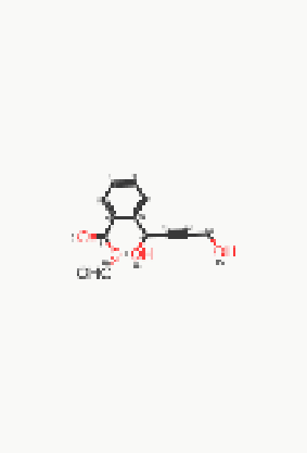 O=COC(=O)c1ccccc1C(O)C#CCO